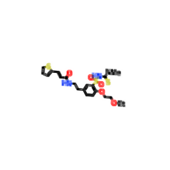 CCOCCOc1ccc(CCNC(=O)/C=C/c2cccs2)cc1S(=O)(=O)NC(=S)NC